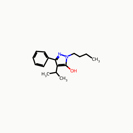 CCCCn1nc(-c2ccccc2)c(C(C)C)c1O